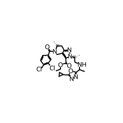 CCOC(=O)c1c2c(nn1[C@H](C)CNC(C)c1nnc(C3CC3)o1)C[C@@H](C)N(C(=O)c1ccc(Cl)c(Cl)c1)C2